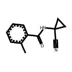 Cc1ccccc1C(=O)NC1(C#N)CC1